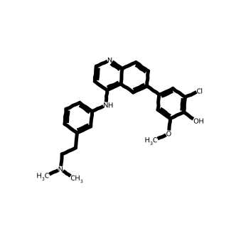 COc1cc(-c2ccc3nccc(Nc4cccc(CCN(C)C)c4)c3c2)cc(Cl)c1O